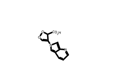 O=C(O)C1OOC=C1n1cc2cccnc2c1